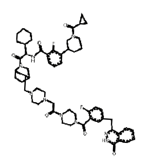 O=C(N[C@@H](C(=O)N1CC2CCC1CC2CN1CCN(CC(=O)N2CCN(C(=O)c3cc(Cc4n[nH]c(=O)c5ccccc45)ccc3F)CC2)CC1)C1CCCCC1)c1cccc(C2CCCN(C(=O)C3CC3)C2)c1F